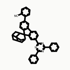 N#Cc1ccccc1-c1ccc2c(c1)-c1ccc(-c3nc(-c4ccccc4)nc(-c4ccccc4)n3)cc1C21C2CC3CC(C2)CC1C3